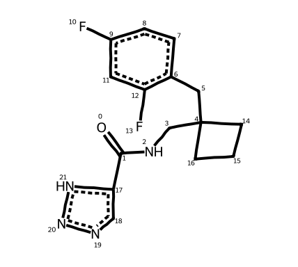 O=C(NCC1(Cc2ccc(F)cc2F)CCC1)c1cnn[nH]1